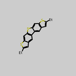 CCc1cc2cc3c(cc2s1)sc1cc2sc(CC)cc2cc13